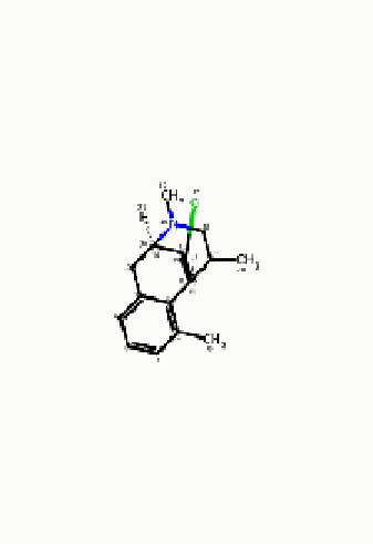 Cc1cccc2c1[C@@]13CC=CC(Cl)C1[C@@H](C2)N(C)CC3C